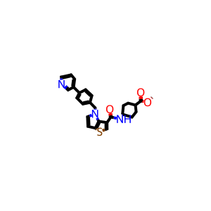 COC(=O)C1CCC(NC(=O)c2csc3ccn(Cc4ccc(-c5cccnc5)cc4)c23)CC1